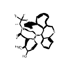 C#Cc1cccc2c1[C@H](N1CN([C@H](C)C(F)(F)F)C(=O)C3=C(O)C(O)C=CN31)c1ccccc1SC2